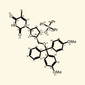 COc1ccc(C(OC[C@H]2O[C@@H](n3cc(C)c(=O)[nH]c3=O)C[C@@H]2O[Si](C(C)C)(C(C)C)C(C)C)(c2ccccc2)c2ccc(OC)cc2)cc1